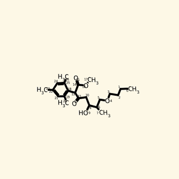 CCCCOCC(C)C(O)CC(=O)C(C(=O)OC)c1c(C)cc(C)cc1C